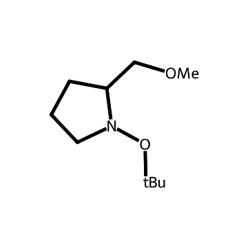 COCC1CCCN1OC(C)(C)C